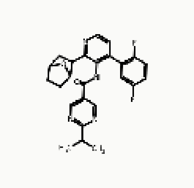 CC(C)c1ncc(C(=O)Nc2c(-c3cc(F)ccc3F)ccnc2C2CC3CCC2O3)cn1